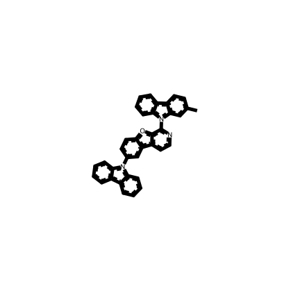 Cc1ccc2c3ccccc3n(-c3nccc4c3oc3ccc(-n5c6ccccc6c6ccccc65)cc34)c2c1